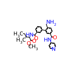 CCC(C)C(NC(=O)c1cccc(-c2cc(C(=O)Nc3ccncc3)ccc2CN)c1)C(=O)OC